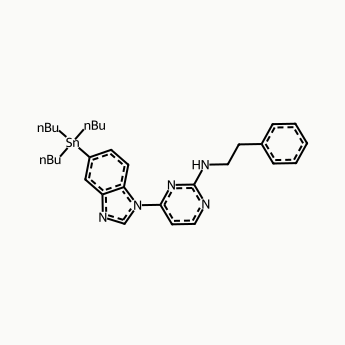 CCC[CH2][Sn]([CH2]CCC)([CH2]CCC)[c]1ccc2c(c1)ncn2-c1ccnc(NCCc2ccccc2)n1